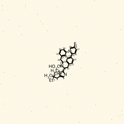 CCC(C)(C)Cc1cnc(C(Cc2ccc(-c3ccc(F)cn3)cc2)N(CCc2ccccc2)C(=O)O)n1C